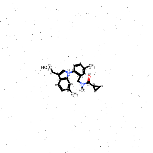 CCN(Cc1cc(C(F)(F)F)ccc1-n1cc(CC(=O)O)c2ccc(C)cc21)C(=O)C1CC1